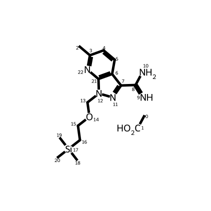 CC(=O)O.Cc1ccc2c(C(=N)N)nn(COCC[Si](C)(C)C)c2n1